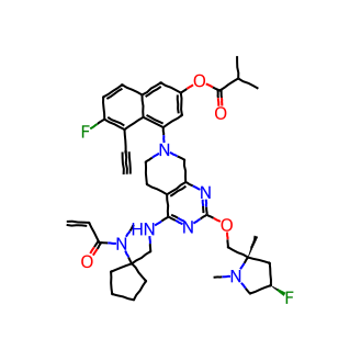 C#Cc1c(F)ccc2cc(OC(=O)C(C)C)cc(N3CCc4c(nc(OC[C@]5(C)C[C@@H](F)CN5C)nc4NCC4(N(C)C(=O)C=C)CCCC4)C3)c12